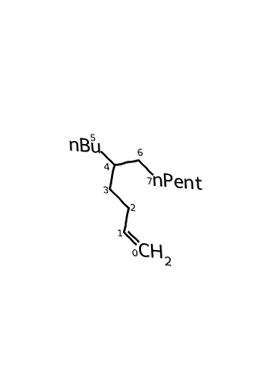 C=CCCC(CCCC)CCCCCC